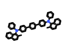 Cc1ccc2ccccc2c1N(c1ccccc1)c1ccc(-c2ccc(-c3ccc(N(c4ccccc4)c4c(C)ccc5ccccc45)cc3)cc2)cc1